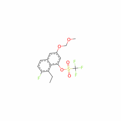 CCc1c(F)ccc2cc(OCOC)cc(OS(=O)(=O)C(F)(F)F)c12